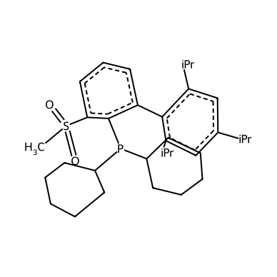 CC(C)c1cc(C(C)C)c(-c2cccc(S(C)(=O)=O)c2P(C2CCCCC2)C2CCCCC2)c(C(C)C)c1